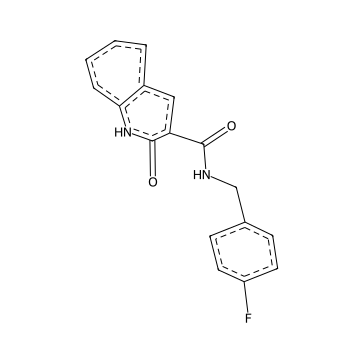 O=C(NCc1ccc(F)cc1)c1cc2ccccc2[nH]c1=O